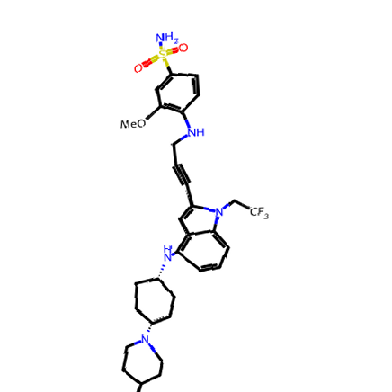 COc1cc(S(N)(=O)=O)ccc1NCC#Cc1cc2c(N[C@H]3CC[C@@H](N4CCC(O)CC4)CC3)cccc2n1CC(F)(F)F